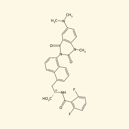 CN(C)c1ccc2c(c1)c(=O)n(-c1cccc3c(C[C@H](NC(=O)c4c(F)cccc4F)C(=O)O)cccc13)c(=O)n2C